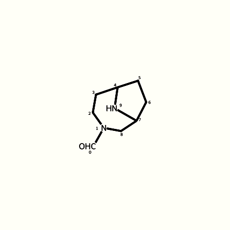 O=CN1CCC2CCC(C1)N2